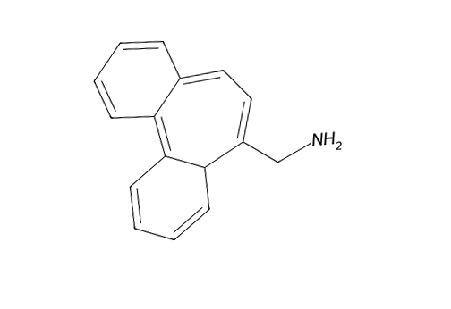 NCC1=CC=c2ccccc2=C2C=CC=CC12